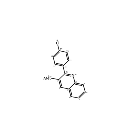 CSc1cc2ccccc2nc1-c1ccc(Cl)cc1